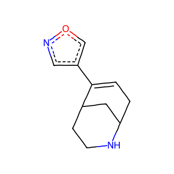 C1=C(c2cnoc2)C2CCNC(C1)C2